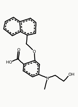 CN(CCO)c1ccc(C(=O)O)c(OCc2cccc3ccccc23)c1